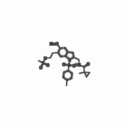 COc1cc2cc(CNC(=O)C3(C)CC3)n(S(=O)(=O)c3ccc(C)cc3)c2cc1CCOS(C)(=O)=O